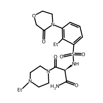 CCc1c(N2CCOCC2=O)cccc1S(=O)(=O)N[C@@H](C(N)=O)C(=O)N1CCN(CC)CC1